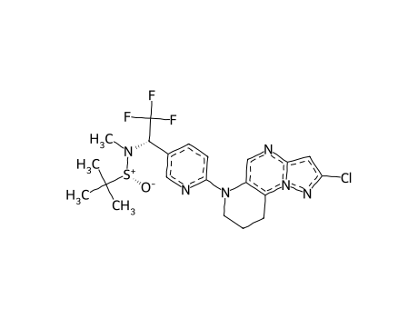 CN([C@@H](c1ccc(N2CCCc3c2cnc2cc(Cl)nn32)nc1)C(F)(F)F)[S@+]([O-])C(C)(C)C